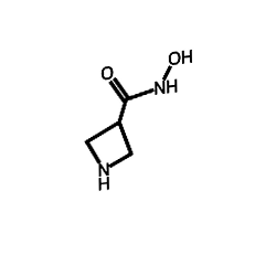 O=C(NO)C1CNC1